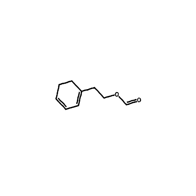 O=COCCC1=CC=CCC1